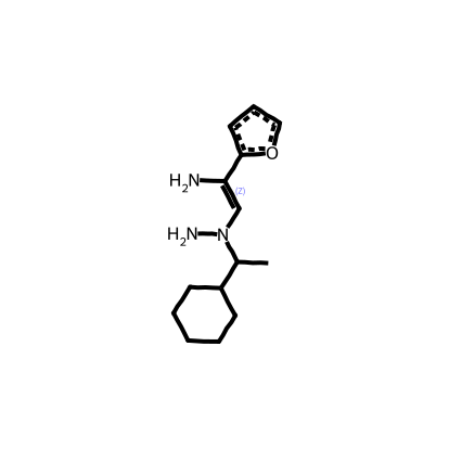 CC(C1CCCCC1)N(N)/C=C(\N)c1ccco1